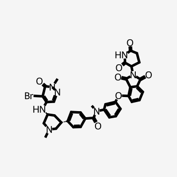 CN1C[C@H](Nc2cnn(C)c(=O)c2Br)C[C@H](c2ccc(C(=O)N(C)c3cccc(Oc4cccc5c4C(=O)N(C4CCC(=O)NC4=O)C5=O)c3)cc2)C1